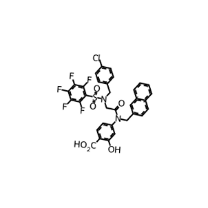 O=C(O)c1ccc(N(Cc2ccc3ccccc3c2)C(=O)CN(Cc2ccc(Cl)cc2)S(=O)(=O)c2c(F)c(F)c(F)c(F)c2F)cc1O